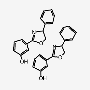 Oc1cccc(C2=NC(c3ccccc3)CO2)c1.Oc1cccc(C2=NC(c3ccccc3)CO2)c1